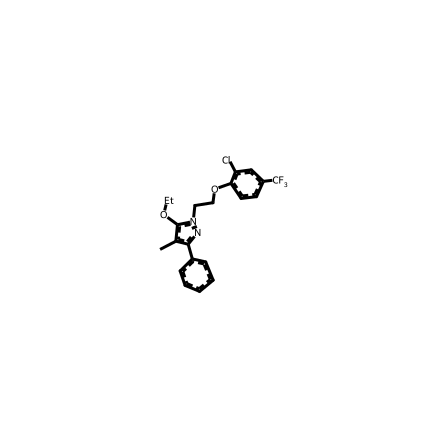 CCOc1c(C)c(-c2ccccc2)nn1CCOc1ccc(C(F)(F)F)cc1Cl